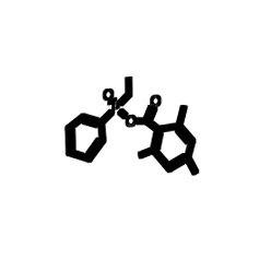 CCP(=O)(OC(=O)c1c(C)cc(C)cc1C)c1ccccc1